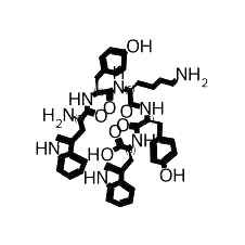 NCCCC[C@H](NC(=O)[C@H](Cc1ccc(O)cc1)NC(=O)[C@@H](N)Cc1c[nH]c2ccccc12)C(=O)N[C@@H](Cc1ccc(O)cc1)C(=O)N[C@@H](Cc1c[nH]c2ccccc12)C(=O)O